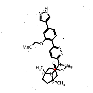 COCOc1cc(-c2cn[nH]c2)ccc1-c1ccc(N(C)C2C[C@]3(C)CC[C@](C)(C2)N3C(=O)OC(C)(C)C)nn1